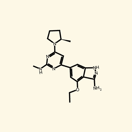 CCOc1cc(-c2cc(N3CCC[C@H]3C)nc(NC)n2)cc2[nH]nc(N)c12